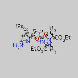 CCOC(=O)C(C)NP(=O)(N[C@@H](C)C(=O)OCC)c1ccc(-c2nc(N)sc2CC(C)C)o1